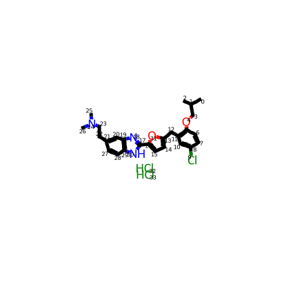 CC(C)COc1ccc(Cl)cc1Cc1ccc(-c2nc3cc(CCN(C)C)ccc3[nH]2)o1.Cl.Cl